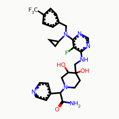 NC(=O)C(c1ccncc1)N1CCC(O)(CNc2ncnc(N(Cc3ccc(C(F)(F)F)cc3)C3CC3)c2F)C(O)C1